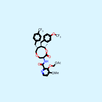 COc1ccnc(C(=O)N[C@H]2COC[C@H](Cc3ccc(C(F)(F)F)cc3)[C@@H](Cc3ccc(OC(F)(F)F)cc3)[C@H](C)OC2=O)c1OCOC(C)=O